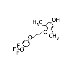 CCc1cc(O)cc(CC)c1OCCCCOc1ccc(OC(F)(F)F)cc1